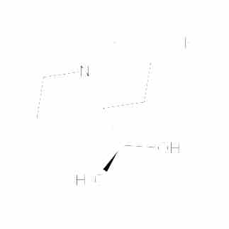 C[C@H](O)[C@@]12CCCN1C[C@H](F)C2